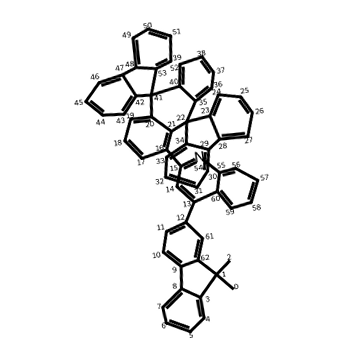 CC1(C)c2ccccc2-c2ccc(-c3cc(-c4cccc5c4C4(c6ccccc6-c6ccccc64)c4ccccc4C54c5ccccc5-c5ccccc54)nc4ccccc34)cc21